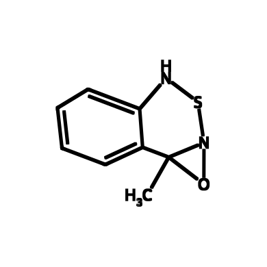 CC12ON1SNc1ccccc12